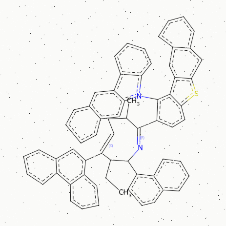 CCC1/C(c2cc3ccccc3c3ccccc23)=C/CC(C)/C(c2ccc3sc4cc5ccccc5cc4c3c2-n2c3ccccc3c3cc4ccccc4cc32)=N\C1c1cccc2ccccc12